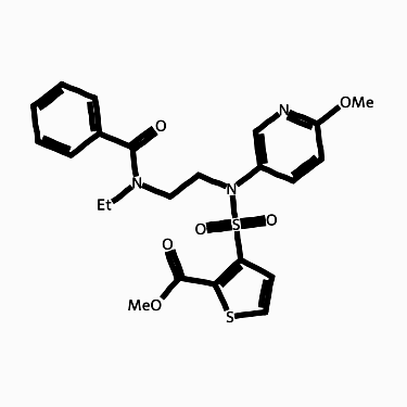 CCN(CCN(c1ccc(OC)nc1)S(=O)(=O)c1ccsc1C(=O)OC)C(=O)c1ccccc1